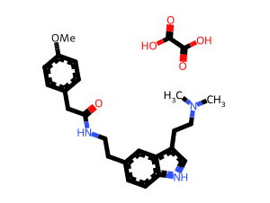 COc1ccc(CC(=O)NCCc2ccc3[nH]cc(CCN(C)C)c3c2)cc1.O=C(O)C(=O)O